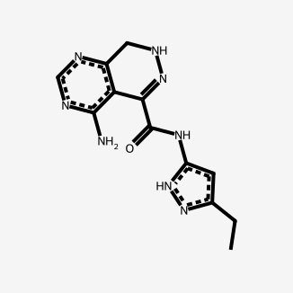 CCc1cc(NC(=O)C2=NNCc3ncnc(N)c32)[nH]n1